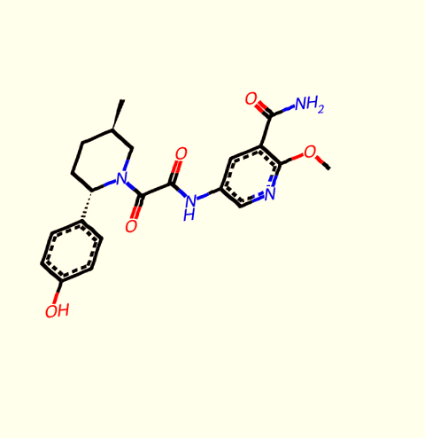 COc1ncc(NC(=O)C(=O)N2C[C@H](C)CC[C@H]2c2ccc(O)cc2)cc1C(N)=O